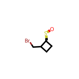 O=S=C1CCC1CBr